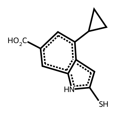 O=C(O)c1cc(C2CC2)c2cc(S)[nH]c2c1